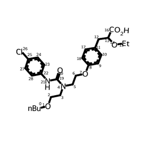 CCCCOCCN(CCOc1ccc(CC(OCC)C(=O)O)cc1)C(=O)Nc1ccc(Cl)cc1